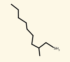 CCCCCCCC(C)C[SiH3]